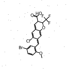 COc1ccc(Br)cc1C=c1cc2c(cc1Cl)=CC(C(=O)O)C(C(F)(F)F)O2